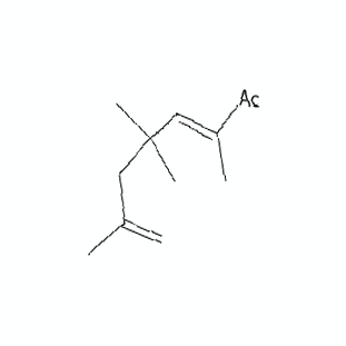 C=C(C)CC(C)(C)/C=C(\C)C(C)=O